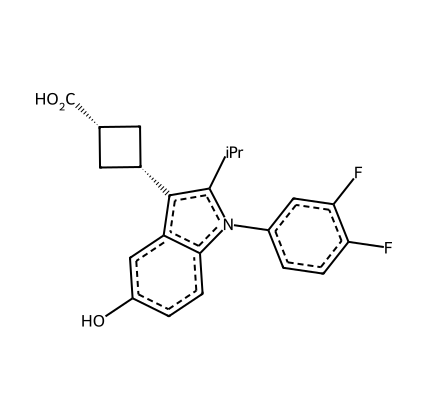 CC(C)c1c([C@H]2C[C@@H](C(=O)O)C2)c2cc(O)ccc2n1-c1ccc(F)c(F)c1